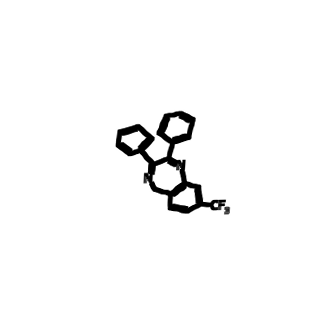 FC(F)(F)c1ccc2c(c1)N=C(c1ccccc1)C(c1ccccc1)=NC2